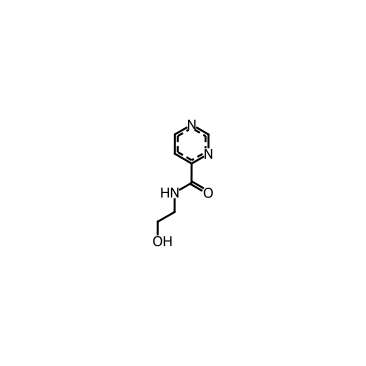 O=C(NCCO)c1ccncn1